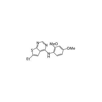 CCc1cc2c(Nc3ccc(OC)cc3OC)ncnc2s1